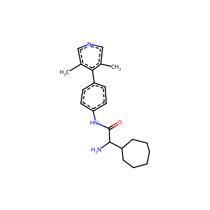 Cc1cncc(C)c1-c1ccc(NC(=O)C(N)C2CCCCCC2)cc1